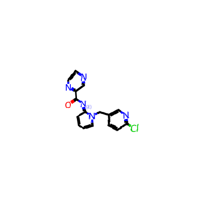 O=C(/N=c1\ccccn1Cc1ccc(Cl)nc1)c1cnccn1